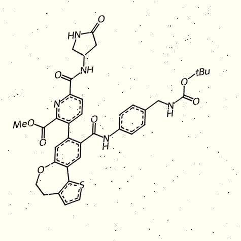 COC(=O)c1nc(C(=O)NC2CNC(=O)C2)ccc1-c1cc2c(cc1C(=O)Nc1ccc(CNC(=O)OC(C)(C)C)cc1)-c1sccc1CCO2